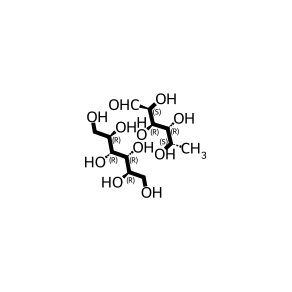 C[C@H](O)[C@@H](O)[C@@H](O)[C@H](O)C=O.OC[C@@H](O)[C@@H](O)[C@H](O)[C@H](O)CO